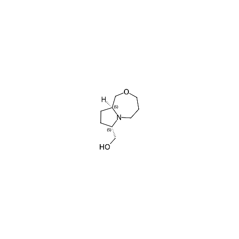 OC[C@@H]1CC[C@H]2COCCCN12